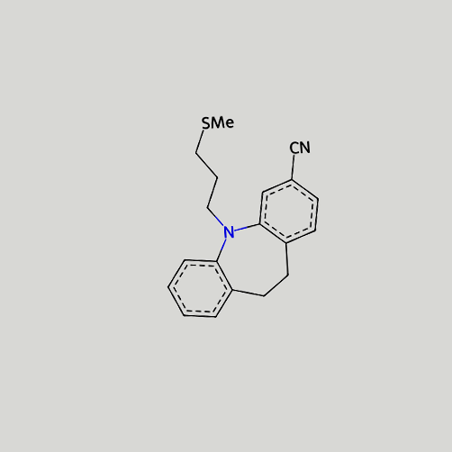 CSCCCN1c2ccccc2CCc2ccc(C#N)cc21